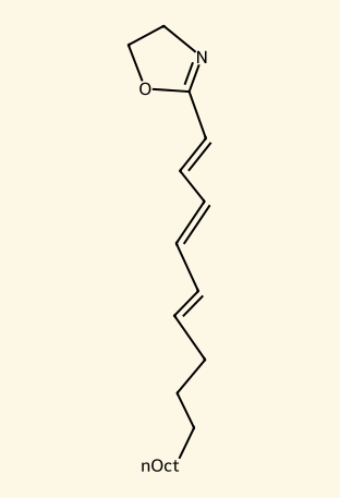 CCCCCCCCCCCC=CC=CC=CC1=NCCO1